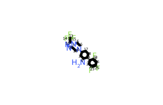 N[C@H]1C[C@@H](N2CCn3c(nnc3C(F)(F)F)C2)CCC1[C@H]1CC(F)=C(F)C=C1F